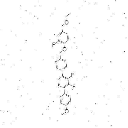 CCOCc1ccc(OCc2ccc(-c3ccc(-c4ccc(OC)cc4)c(F)c3F)cc2)c(F)c1